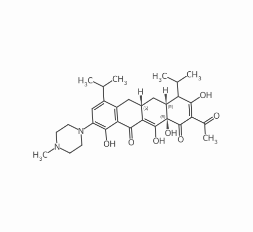 CC(=O)C1=C(O)C(C(C)C)[C@H]2C[C@H]3Cc4c(C(C)C)cc(N5CCN(C)CC5)c(O)c4C(=O)C3=C(O)[C@@]2(O)C1=O